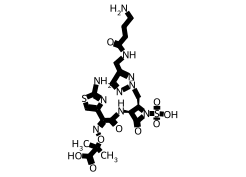 CC(C)(O/N=C(\C(=O)N[C@@H]1C(=O)N(S(=O)(=O)O)[C@@H]1Cn1ncc(CNC(=O)CCCN)n1)c1csc(N)n1)C(=O)O